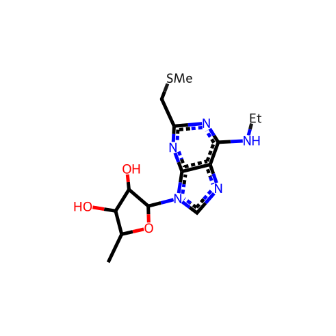 CCNc1nc(CSC)nc2c1ncn2C1OC(C)C(O)C1O